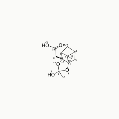 CC1(O)OC2CC3CC(C3(C)C)[C@@]2(CC(=O)O)O1